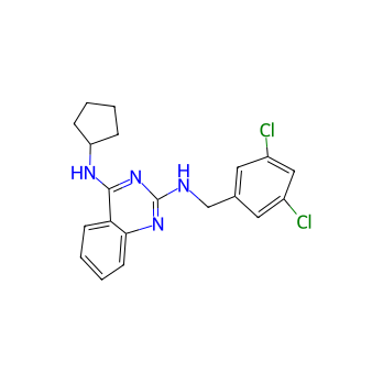 Clc1cc(Cl)cc(CNc2nc(NC3CCCC3)c3ccccc3n2)c1